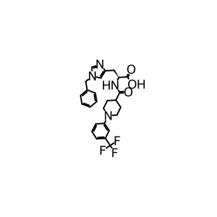 O=C(N[C@@H](Cc1cn(Cc2ccccc2)cn1)C(=O)O)C1CCN(c2cccc(C(F)(F)F)c2)CC1